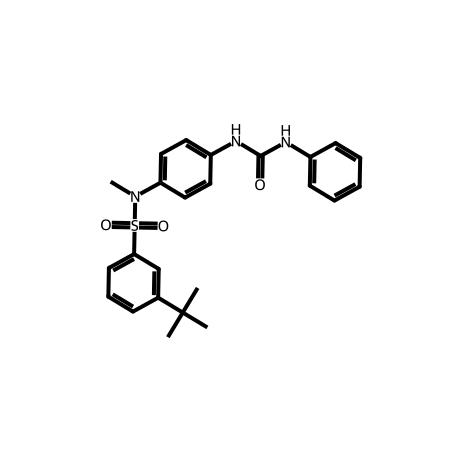 CN(c1ccc(NC(=O)Nc2ccccc2)cc1)S(=O)(=O)c1cccc(C(C)(C)C)c1